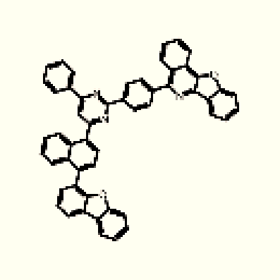 c1ccc(-c2cc(-c3ccc(-c4cccc5c4oc4ccccc45)c4ccccc34)nc(-c3ccc(-c4nc5c6ccccc6oc5c5ccccc45)cc3)n2)cc1